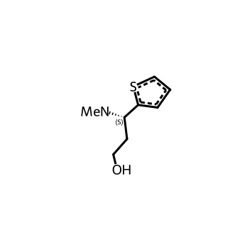 CN[C@@H](CCO)c1cccs1